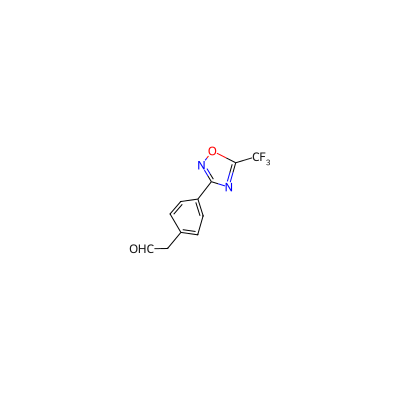 O=CCc1ccc(-c2noc(C(F)(F)F)n2)cc1